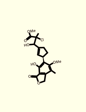 COC(=O)C(C)(Cl)C(O)C1=C[C@H](c2c(O)c3c(c(C)c2OC)COC3=O)CC1